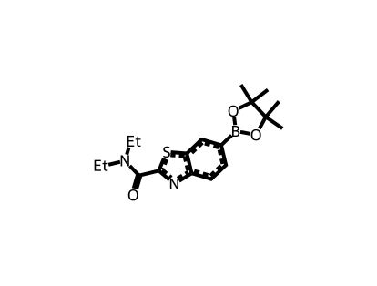 CCN(CC)C(=O)c1nc2ccc(B3OC(C)(C)C(C)(C)O3)cc2s1